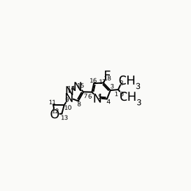 CC(C)c1cnc(-c2cn(C3COC3)nn2)cc1F